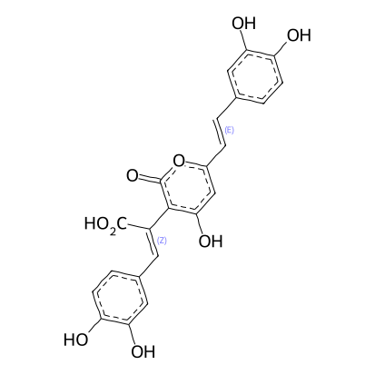 O=C(O)/C(=C\c1ccc(O)c(O)c1)c1c(O)cc(/C=C/c2ccc(O)c(O)c2)oc1=O